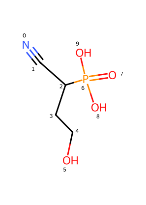 N#CC(CCO)P(=O)(O)O